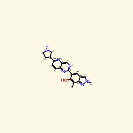 Cc1c(O)c(-c2ncc3nc(C4CCNC4)ccc3n2)cc2cn(C)nc12